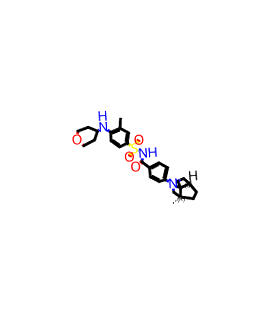 Cc1cc(S(=O)(=O)NC(=O)c2ccc(N3C[C@H]4CC[C@@](C)(C3)C4(C)C)cc2)ccc1NC1CCOCC1